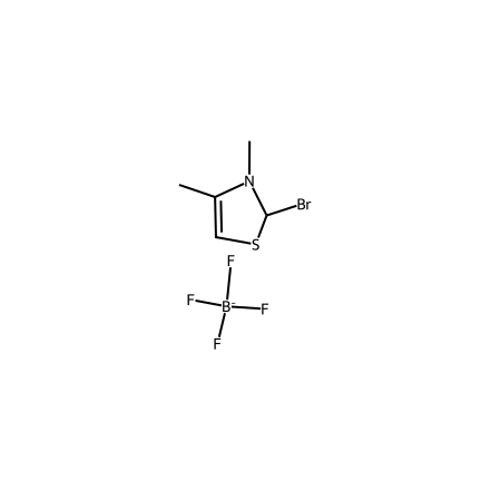 CC1=CSC(Br)N1C.F[B-](F)(F)F